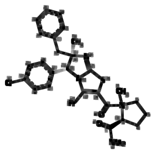 CNC(=O)[C@@H]1CCC[N+]1(C)C(=O)C1=C(C(C)C)N2C(=N[C@](C)(Cc3ccccc3)[C@H]2c2ccc(Cl)cc2)S1